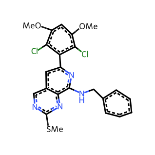 COc1cc(OC)c(Cl)c(-c2cc3cnc(SC)nc3c(NCc3ccccc3)n2)c1Cl